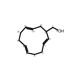 OCC1/C=C/CC/C=C/CC/C=C/C1